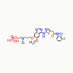 COc1cc2c(Nc3ncc(CC(=O)Nc4cccc(F)c4F)s3)ncnc2cc1OCCCN(CCOP(=O)(O)O)C1CC1